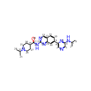 CC(C)Nc1cncc(-c2ccc3cnc(NC(=O)C4CCN(C(C)C)CC4)nc3c2)n1